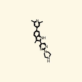 Cc1cc(-c2ccc3c(C)c(-c4cnc(N5CCNCC5)nc4)[nH]c3c2)cc(C)n1